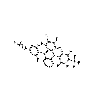 COc1cc(F)c(-c2c3ccccc3c(-c3c(F)c(F)c(C(F)(F)F)c(F)c3F)c3c(F)c(F)c(F)c(F)c23)c(F)c1